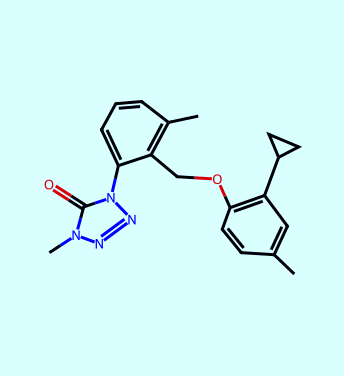 Cc1ccc(OCc2c(C)cccc2-n2nnn(C)c2=O)c(C2CC2)c1